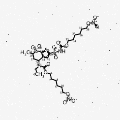 CCN(C(=O)OCCCCCCO[N+](=O)[O-])[C@H]1CC(C)S(=O)(=O)c2sc(S(=O)(=O)NC(=O)OCCCCCCO[N+](=O)[O-])cc21